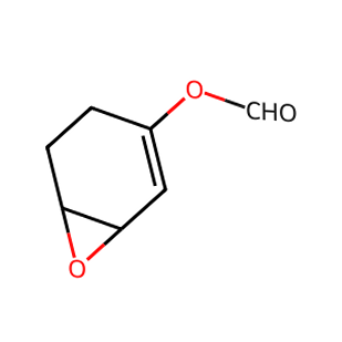 O=COC1=CC2OC2CC1